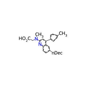 CCCCCCCCCCc1ccc2nc(N(C)CC(=O)O)cc(-c3ccc(C)cc3)c2c1